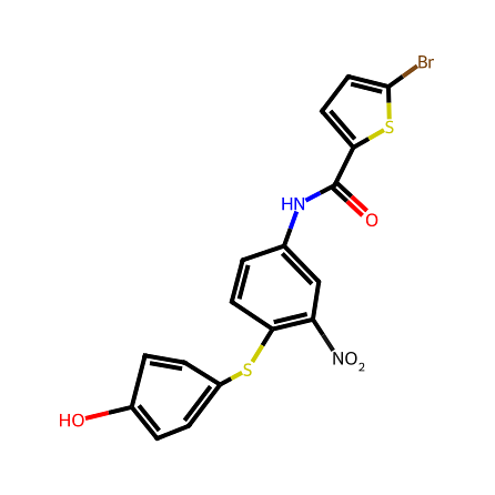 O=C(Nc1ccc(Sc2ccc(O)cc2)c([N+](=O)[O-])c1)c1ccc(Br)s1